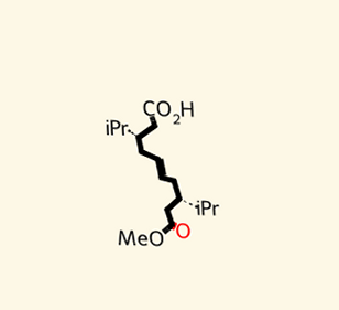 COC(=O)C[C@H](C/C=C/C[C@@H](CC(=O)O)C(C)C)C(C)C